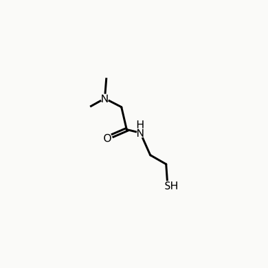 CN(C)CC(=O)NCCS